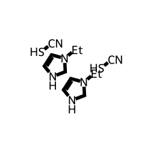 CCN1C=CNC1.CCN1C=CNC1.N#CS.N#CS